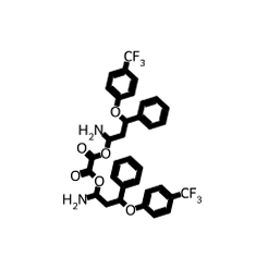 NC(CC(Oc1ccc(C(F)(F)F)cc1)c1ccccc1)OC(=O)C(=O)OC(N)CC(Oc1ccc(C(F)(F)F)cc1)c1ccccc1